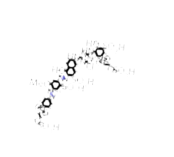 COc1cc(/N=N/c2c(S(=O)(=O)O)cc3cc(Nc4nc(Cl)nc(Nc5cc(S(=O)(=O)CCOS(=O)(=O)O)cc(S(=O)(=O)O)c5O)n4)ccc3c2O)c(S(=O)(=O)O)cc1/N=N/c1ccc(S(=O)(=O)CCOS(=O)(=O)O)cc1